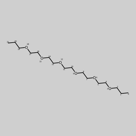 CCCOCCOCCOCCOCCOCCOCCC